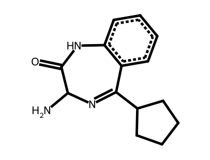 NC1N=C(C2CCCC2)c2ccccc2NC1=O